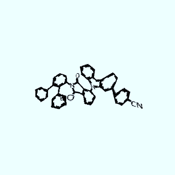 N#Cc1ccc(-c2ccc3c4ccccc4n(-c4cccc5c4C(=O)N(c4cccc(-c6ccccc6)c4-c4ccccc4)C5O)c3c2)cc1